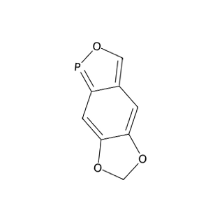 c1opc2cc3c(cc12)OCO3